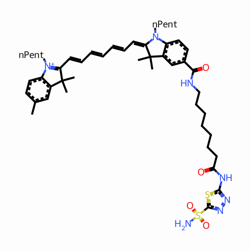 CCCCCN1/C(=C/C=C/C=C/C=C/C2=[N+](CCCCC)c3ccc(C)cc3C2(C)C)C(C)(C)c2cc(C(=O)NCCCCCCCC(=O)Nc3nnc(S(N)(=O)=O)s3)ccc21